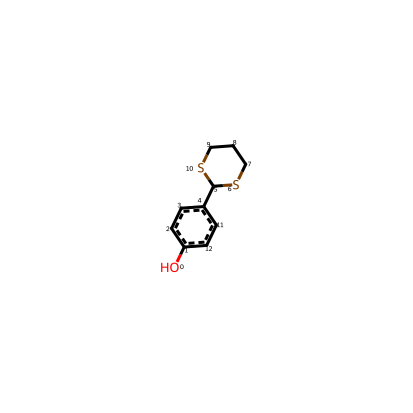 Oc1ccc(C2SCCCS2)cc1